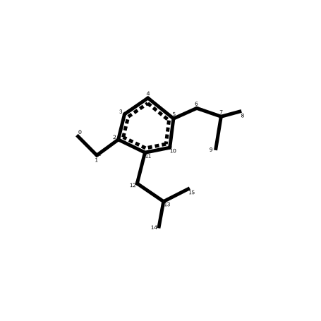 C[CH]c1ccc(CC(C)C)cc1CC(C)C